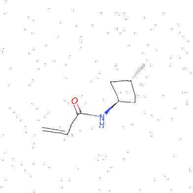 C=CC(=O)N[C@H]1C[C@H](C)C1